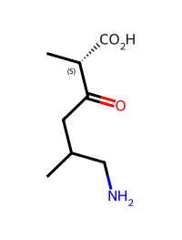 CC(CN)CC(=O)[C@H](C)C(=O)O